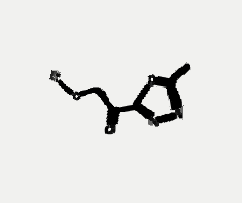 CCOCC(=O)c1nnc(C)o1